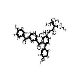 CNC(C)C(=O)Nc1ccc(-c2ccc(F)cc2)n(C(=O)c2cncc(C(=O)c3ccc(F)cc3)c2)c1=O